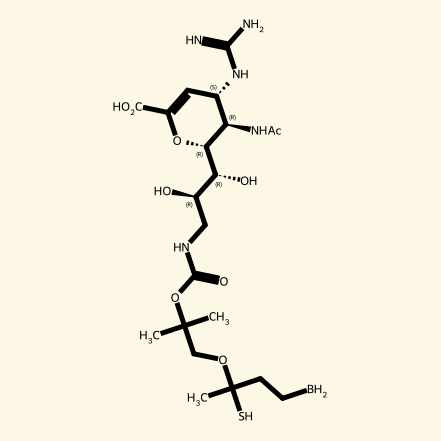 BCCC(C)(S)OCC(C)(C)OC(=O)NC[C@@H](O)[C@@H](O)[C@@H]1OC(C(=O)O)=C[C@H](NC(=N)N)[C@H]1NC(C)=O